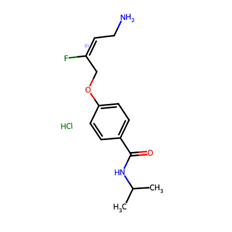 CC(C)NC(=O)c1ccc(OC/C(F)=C\CN)cc1.Cl